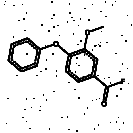 COc1cc(C(=O)F)ccc1Oc1ccccc1